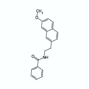 COc1ccc2ccc(CCNC(=O)c3ccccc3)cc2c1